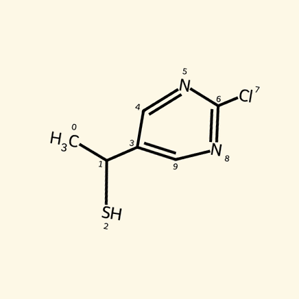 CC(S)c1cnc(Cl)nc1